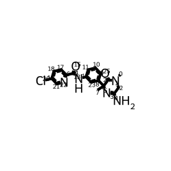 CN1CC(N)=NC(C)(c2cccc(NC(=O)c3ccc(Cl)cn3)c2)C1=O